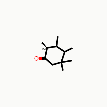 CC1C(C)C(C)(C)CC(=O)[C@H]1C